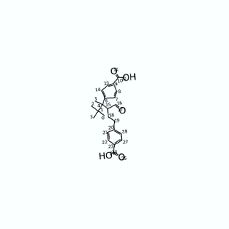 CC(C)(C)C(C)(c1ccc(C(=O)O)cc1)C(C=O)CCc1ccc(C(=O)O)cc1